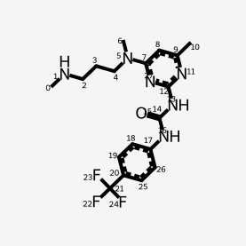 CNCCCN(C)c1cc(C)nc(NC(=O)Nc2ccc(C(F)(F)F)cc2)n1